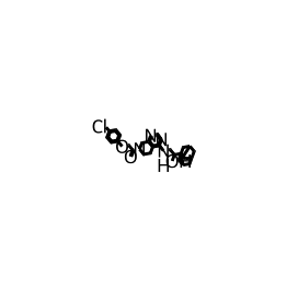 O=C(COc1ccc(Cl)cc1)N1CCc2c(ncnc2NCC(O)C23CC4CC(CC(C4)C2)C3)C1